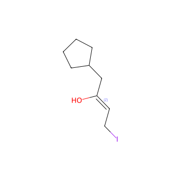 O/C(=C\CI)CC1CCCC1